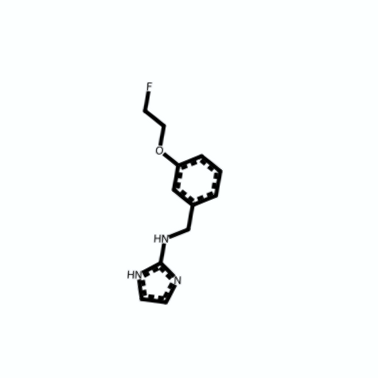 FCCOc1cccc(CNc2ncc[nH]2)c1